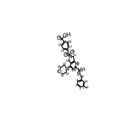 Cc1cccc(/C=N/Nc2nc3c(c(N4CCOCC4)n2)CN(S(=O)(=O)c2ccc(C(=O)O)cc2)C3)c1